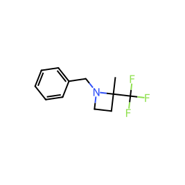 CC1(C(F)(F)F)CCN1Cc1ccccc1